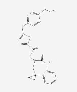 CN1C(=O)C(NC(=O)c2nnc(Cc3ccc(CCO)cc3)[nH]2)CC2(CC2)c2cccnc21